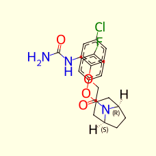 NC(=O)Nc1cc(Cl)ccc1OCC(=O)N1[C@@H]2CC[C@H]1CC(Oc1ccc(F)cc1)C2